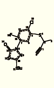 C#CC(C)Sc1cc(-n2nc(C(C)(C)C)sc2=O)c(F)cc1Cl